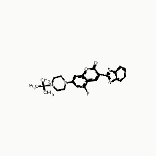 CC(C)(C)N1CCN(c2cc(F)c3cc(-c4nc5ccccc5s4)c(=O)oc3c2)CC1